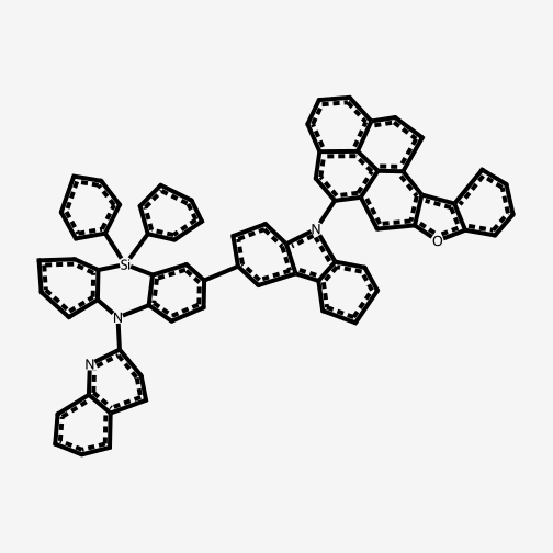 c1ccc([Si]2(c3ccccc3)c3ccccc3N(c3ccc4ccccc4n3)c3ccc(-c4ccc5c(c4)c4ccccc4n5-c4cc5cccc6ccc7c8c(cc4c7c65)oc4ccccc48)cc32)cc1